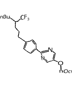 CCCCCCCCOc1cnc(-c2ccc(CCCC(CCCC)C(F)(F)F)cc2)nc1